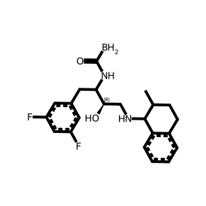 BC(=O)NC(Cc1cc(F)cc(F)c1)[C@H](O)CNC1c2ccccc2CCC1C